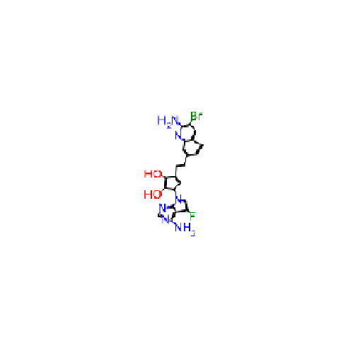 Nc1nc2cc(CCC3=CC(n4cc(F)c5c(N)ncnc54)[C@@H](O)C3O)ccc2cc1Br